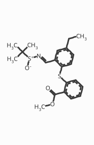 CCc1ccc(Sc2ccccc2C(=O)OC)c(C=N[S+]([O-])C(C)(C)C)c1